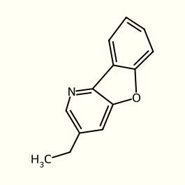 CCc1cnc2c(c1)oc1ccccc12